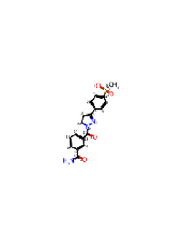 CS(=O)(=O)c1ccc(C2=NN(C(=O)c3cccc(C(N)=O)c3)CC2)cc1